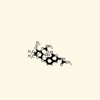 COC1[C@H](OC(N)=O)[C@H](O)C(Oc2ccc3cc(NC(C)=O)oc(=O)c3c2)OC1(C)C